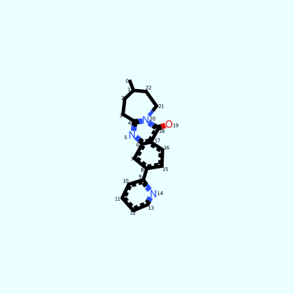 CC1CCc2nc3cc(-c4ccccn4)ccc3c(=O)n2CC1